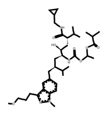 COCCCc1nn(C)c2ccc(C[C@@H](C[C@H](NC(=O)OC(C)OC(=O)C(C)C)[C@@H](O)C[C@H](C(=O)NCC3CC3)C(C)C)C(C)C)cc12